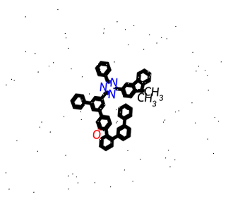 CC1(C)c2ccccc2-c2cc(-c3nc(-c4ccccc4)nc(-c4cc(-c5ccccc5)cc(-c5ccc6c(c5)oc5cccc(-c7cccc(-c8ccccc8)c7)c56)c4)n3)ccc21